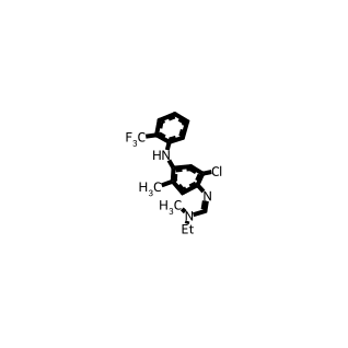 CCN(C)/C=N\c1cc(C)c(Nc2ccccc2C(F)(F)F)cc1Cl